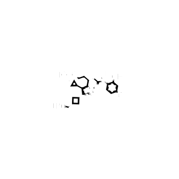 Cc1cc(Cl)ccc1NC(=O)C[C@@H](CCC(=O)O)c1noc([C@H]2C[C@H](CC(C)(C)C)C2)c1C1CC1